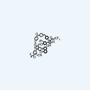 C=C(F)C(=O)N1CCN(c2nc(OCCN3CCN(C(=O)C4CCN(Cc5ccc(-n6c(C(=O)NCC(F)(F)F)nnc6-c6cc(C(C)C)c(O)cc6O)cc5)CC4)CC3)nc3c2CCN(c2cccc4cccc(Cl)c24)C3)C[C@@H]1CC#N